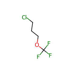 FC(F)(F)OCCCCl